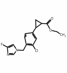 CCOC(=O)C1CC1c1ccc(Cn2cnc(F)c2)c(Cl)c1